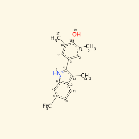 Cc1cc(-c2[nH]c3cc(C(F)(F)F)ccc3c2C)cc(C)c1O